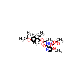 COc1ccnc(C(=O)N[C@@H](C)C(=O)O[C@@H](C)[C@H](c2ccc(OC(C)C)cc2)C(C)C)c1OCOC(C)=O